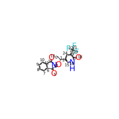 CC(ON1C(=O)c2ccccc2C1=O)c1c[nH]c(=O)c(C(F)(F)F)c1